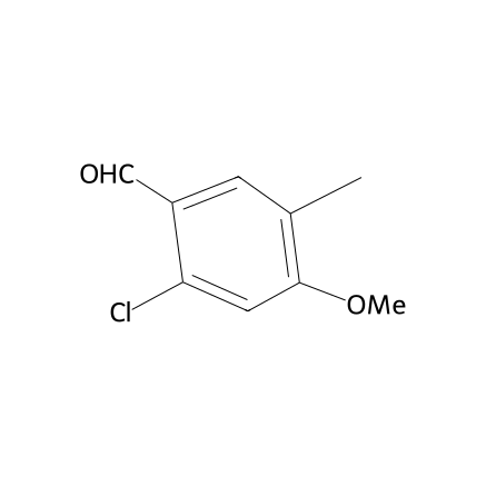 COc1cc(Cl)c(C=O)cc1C